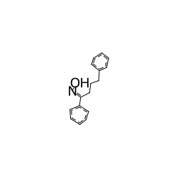 ON=C(CCCc1ccccc1)c1ccccc1